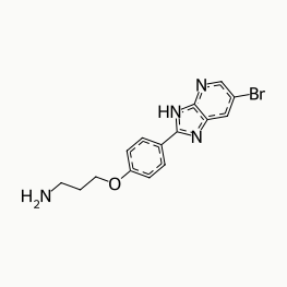 NCCCOc1ccc(-c2nc3cc(Br)cnc3[nH]2)cc1